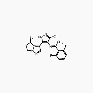 CCC1CCn2ncc(-c3[nH]nc(Cl)c3/N=C(\C)c3c(F)cccc3F)c21